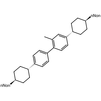 CCCCCCCCC[C@H]1CC[C@H](c2ccc(-c3ccc([C@H]4CC[C@H](CCCCCCCCC)CC4)cc3C)cc2)CC1